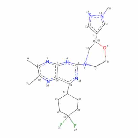 Cc1nc2nc(N3CCO[C@@H](c4cnn(C)c4)C3)nc(C3CCC(F)(F)CC3)c2nc1C